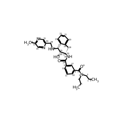 CCCN(CCC)C(=O)c1cccc(C(=O)N[C@@H](Cc2ccccc2)[C@H](O)CNCc2cnc(C)cn2)c1